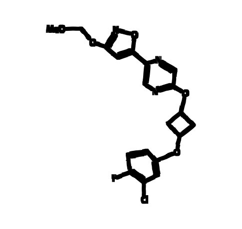 COCOc1cc(-c2cnc(OC3CC(Oc4ccc(F)c(Cl)c4)C3)cn2)on1